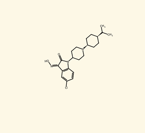 CC(C)[C@H]1CC[C@@H](N2CCC(N3C(=O)/C(=N\O)c4cc(Cl)ccc43)CC2)CC1